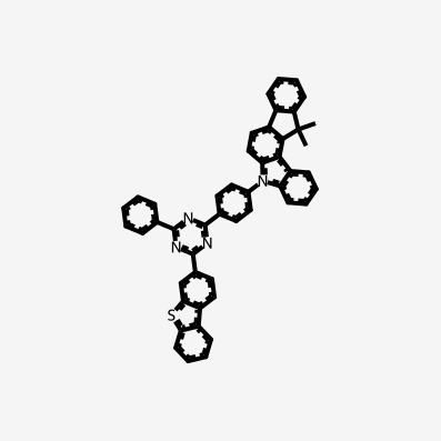 CC1(C)c2ccccc2-c2ccc3c(c21)c1ccccc1n3-c1ccc(-c2nc(-c3ccccc3)nc(-c3ccc4c(c3)sc3ccccc34)n2)cc1